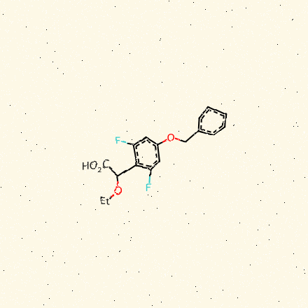 CCOC(C(=O)O)c1c(F)cc(OCc2ccccc2)cc1F